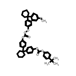 COc1ccc(C2(c3ccc(OOC(=O)Oc4ccc(C5(c6ccc(OC(=O)Oc7ccc(C(C)(C)C)cc7)cc6)CCCCC5)cc4)cc3)CCCCC2)cc1